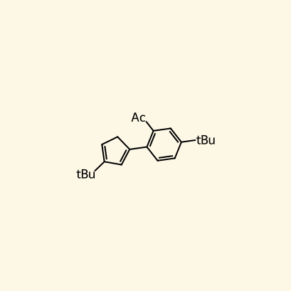 CC(=O)c1cc(C(C)(C)C)ccc1C1=CC(C(C)(C)C)=CC1